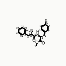 COC(=O)[C@H](Cc1ccc(F)cc1)NC(=O)[C@@H](N)Cc1ccccc1